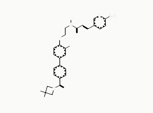 CN(CCOc1ccc(-c2ccc(C(=O)N3CC(F)(F)C3)cc2)cc1Cl)C(=O)C=Cc1ccc(N)nc1